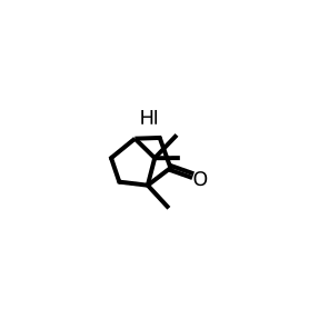 CC12CCC(CC1=O)C2(C)C.I